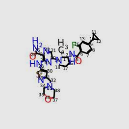 C[C@@H]1[C@H](NC(=O)c2ccc(C3CC3)cc2F)CCCN1c1cnc(C(N)=O)c(Nc2cc(CN3CCOCC3)ns2)n1